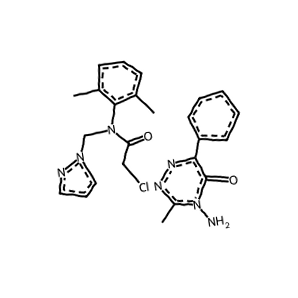 Cc1cccc(C)c1N(Cn1cccn1)C(=O)CCl.Cc1nnc(-c2ccccc2)c(=O)n1N